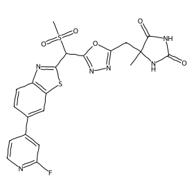 CC1(Cc2nnc(C(c3nc4ccc(-c5ccnc(F)c5)cc4s3)S(C)(=O)=O)o2)NC(=O)NC1=O